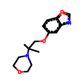 CC(C)(COc1ccc2ocnc2c1)N1CCOCC1